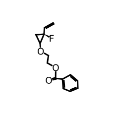 C=C[C@@]1(F)CC1OCCOC(=O)c1ccccc1